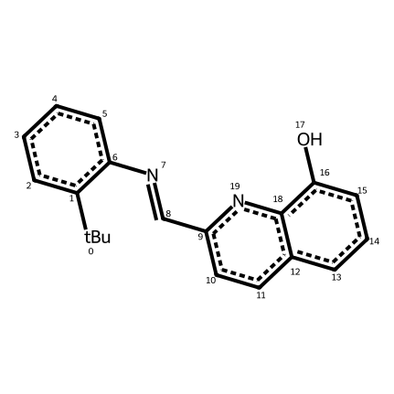 CC(C)(C)c1ccccc1N=Cc1ccc2cccc(O)c2n1